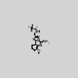 COc1cccc2c1nc(N)n1nc(CN[C@@H](C)C(F)(F)F)nc21